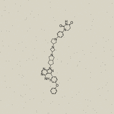 Nc1ncnc2c1c(-c1ccc(Oc3ccccc3)cc1)nn2C1CC2CN(C3CN(C4CCN(c5ccc(N6CCC(=O)NC6=O)cc5)C4)C3)CC2C1